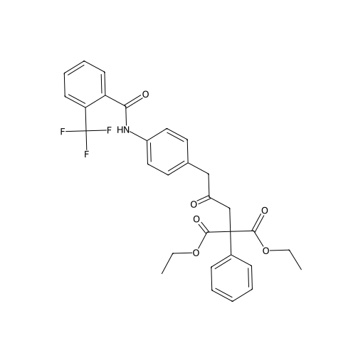 CCOC(=O)C(CC(=O)Cc1ccc(NC(=O)c2ccccc2C(F)(F)F)cc1)(C(=O)OCC)c1ccccc1